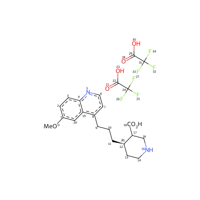 COc1ccc2nccc(CCC[C@@H]3CCNCC3C(=O)O)c2c1.O=C(O)C(F)(F)F.O=C(O)C(F)(F)F